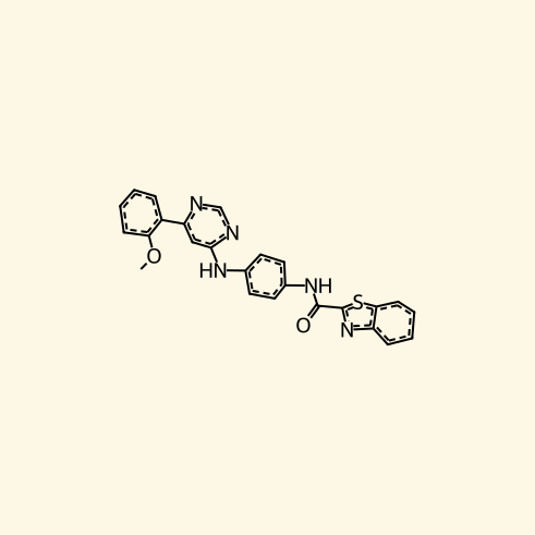 COc1ccccc1-c1cc(Nc2ccc(NC(=O)c3nc4ccccc4s3)cc2)ncn1